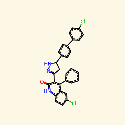 O=c1[nH]c2ccc(Cl)cc2c(-c2ccccc2)c1C1=NNC(c2ccc(-c3ccc(Cl)cc3)cc2)C1